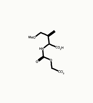 C=C(COC)C(NC(=O)OCC(Cl)(Cl)Cl)C(=O)O